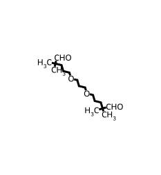 CC(C)(C=O)CCCOCCCOCCCC(C)(C)C=O